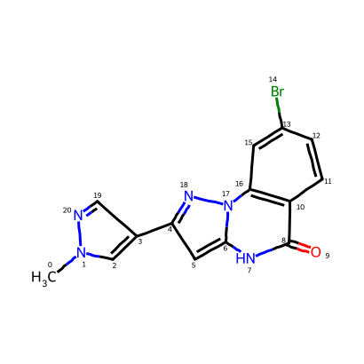 Cn1cc(-c2cc3[nH]c(=O)c4ccc(Br)cc4n3n2)cn1